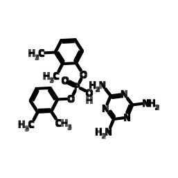 Cc1cccc(OP(=O)(O)Oc2cccc(C)c2C)c1C.Nc1nc(N)nc(N)n1